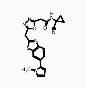 Cn1cccc1-c1ccc2nc(Cc3nnc(CC(=O)NC4(C#N)CC4)o3)sc2c1